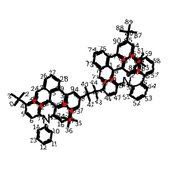 CC(C)(C)c1ccc(N(c2ccccc2)c2ccccc2-c2cccc3cccc(-c4cc(C(C)(C)C)cc(C(C)(C)C(C)(C)c5ccc(N(c6ccccc6-c6ccccc6)c6ccccc6-c6cccc7cccc(-c8cc(C(C)(C)C)cc(C(C)(C)C)c8)c67)cc5)c4)c23)cc1